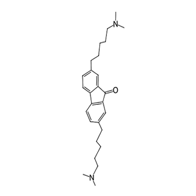 CN(C)CCCCCc1ccc2c(c1)C(=O)c1cc(CCCCCN(C)C)ccc1-2